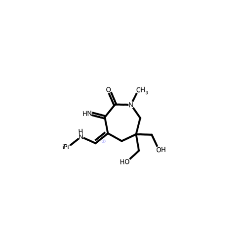 CC(C)N/C=C1/CC(CO)(CO)CN(C)C(=O)C1=N